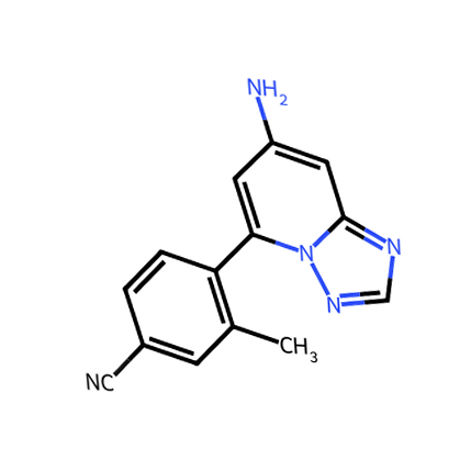 Cc1cc(C#N)ccc1-c1cc(N)cc2ncnn12